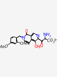 COc1ccc(Cn2ccc3c(O)c(C(=O)C(N)C(=O)O)ncc3c2=O)c(OC)c1